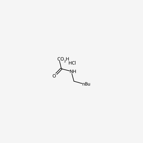 CCCCCNC(=O)C(=O)O.Cl